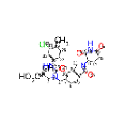 C=C(CN(Cc1ccc2c(c1)CN(C1CCC(=O)NC1=O)C2=O)C(=O)Nc1ccc(C)c(Cl)c1)C(=O)O